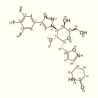 CO[C@@H]1[C@@H](n2cc(-c3cc(F)c(F)c(F)c3)nn2)[C@@H](O)[C@@H](CO)O[C@@H]1Cc1cc([C@@H]2CCC(=O)NC2)no1